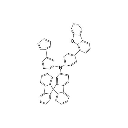 c1ccc(-c2cccc(N(c3ccc(-c4cccc5c4oc4ccccc45)cc3)c3ccc4c(c3)C3(c5ccccc5-c5ccccc53)c3ccccc3-4)c2)cc1